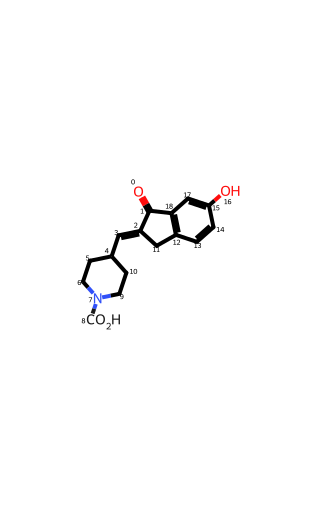 O=C1/C(=C/C2CCN(C(=O)O)CC2)Cc2ccc(O)cc21